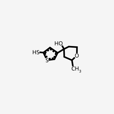 CC1CC(O)(c2csc(S)c2)CCO1